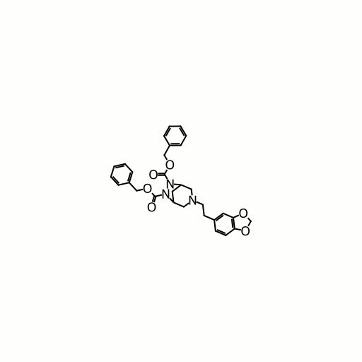 O=C(OCc1ccccc1)N1C2CC(CN(CCc3ccc4c(c3)OCO4)C2)N1C(=O)OCc1ccccc1